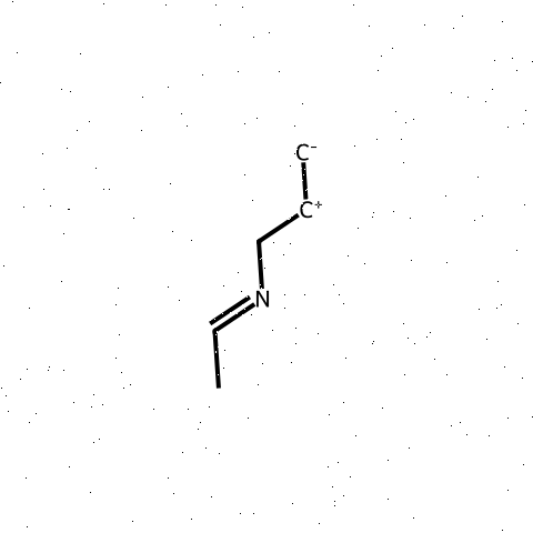 [CH2-][CH+]C/N=C/C